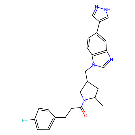 CC1CC(Cn2cnc3cc(-c4cn[nH]c4)ccc32)CN1C(=O)CCc1ccc(F)cc1